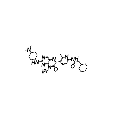 Cc1nc(NC(=O)CC2CCCCC2)ccc1-c1nc2cnc(N[C@H]3CC[C@H](N(C)C)CC3)nc2n(C(C)C)c1=O